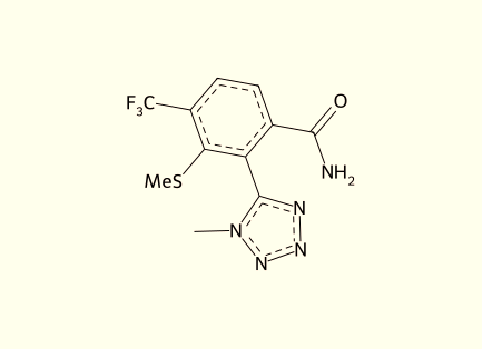 CSc1c(C(F)(F)F)ccc(C(N)=O)c1-c1nnnn1C